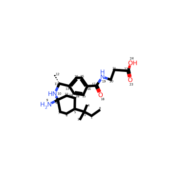 CCC(C)(C)C1CCC(N)(N[C@H](C)c2ccc(C(=O)NCCC(=O)O)cc2)CC1